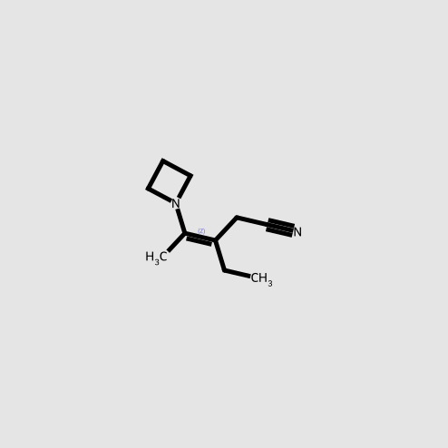 CC/C(CC#N)=C(\C)N1CCC1